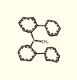 CN(c1ccccc1-c1ccccc1)c1ccccc1-c1ccccc1